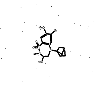 CCCCC1CN(C23CCC(C2)C3)c2cc(Br)c(OC)cc2S(=O)(=O)N1C